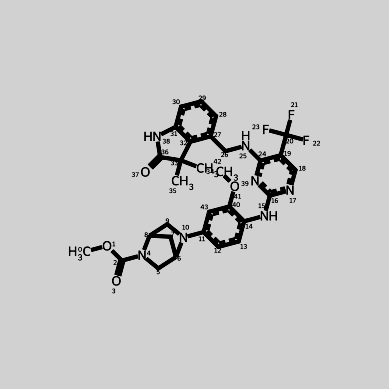 COC(=O)N1CC2CC1CN2c1ccc(Nc2ncc(C(F)(F)F)c(NCc3cccc4c3C(C)(C)C(=O)N4)n2)c(OC)c1